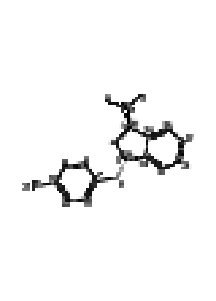 CN(C)[C@@H]1C[C@@H](Cc2ccc(F)cc2)c2ccccc21